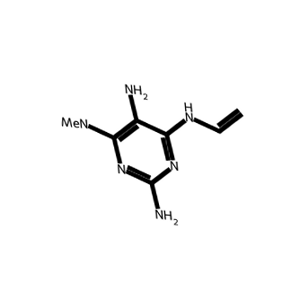 C=CNc1nc(N)nc(NC)c1N